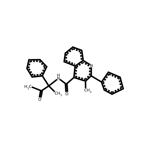 CC(=O)C(C)(NC(=O)c1c(C)c(-c2ccccc2)nc2ccccc12)c1ccccc1